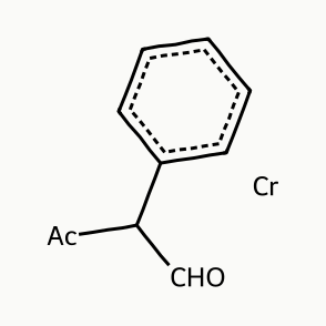 CC(=O)C(C=O)c1ccccc1.[Cr]